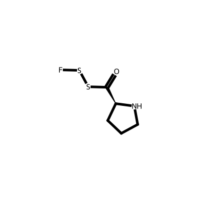 O=C(SSF)[C@@H]1CCCN1